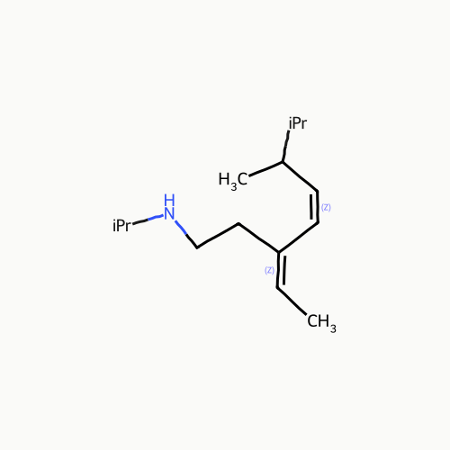 C/C=C(\C=C/C(C)C(C)C)CCNC(C)C